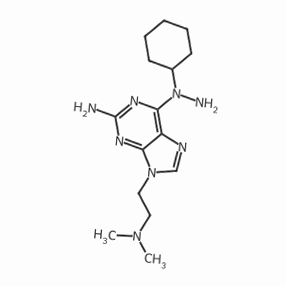 CN(C)CCn1cnc2c(N(N)C3CCCCC3)nc(N)nc21